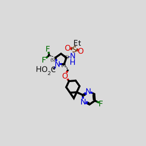 CCS(=O)(=O)N[C@H]1C[C@@H](C(F)F)N(C(=O)O)[C@H]1COC1CCC2(c3ncc(F)cn3)CC2C1